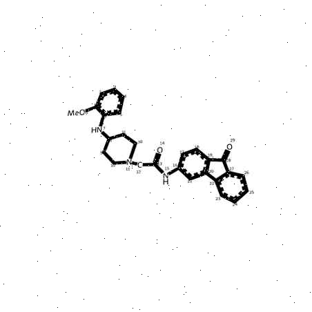 COc1ccccc1NC1CCN(CC(=O)Nc2ccc3c(c2)-c2ccccc2C3=O)CC1